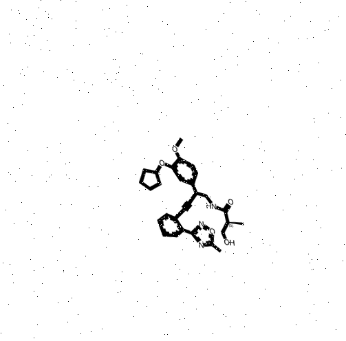 COc1ccc(C(C#Cc2ccccc2-c2noc(C)n2)CNC(=O)[C@@H](C)CO)cc1OC1CCCC1